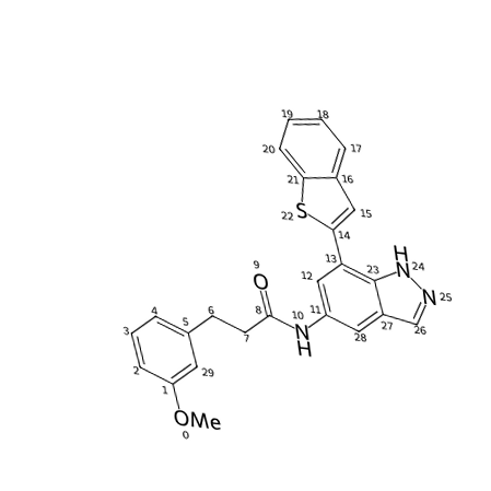 COc1cccc(CCC(=O)Nc2cc(-c3cc4ccccc4s3)c3[nH]ncc3c2)c1